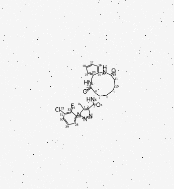 Cc1c(C(=O)N[C@H]2CCCCCC(=O)Nc3ccccc3NC2=O)nnn1-c1cccc(Cl)c1F